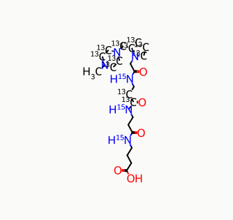 CN1[13CH2][13CH2]N([13CH2][13CH]2[13CH2][13CH2][13CH2]N2CC(=O)[15NH]C[13CH2][13C](=O)[15NH]CCC(=O)[15NH]CCCC(=O)O)[13CH2][13CH2]1